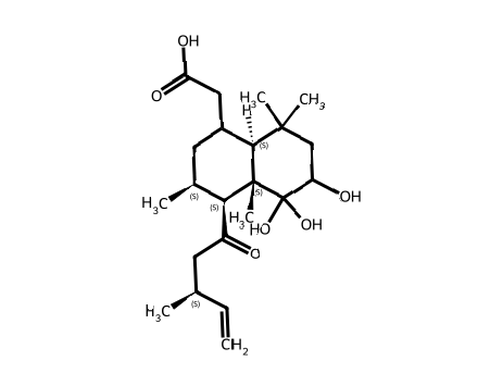 C=C[C@@H](C)CC(=O)[C@H]1[C@@H](C)CC(CC(=O)O)[C@H]2C(C)(C)CC(O)C(O)(O)[C@]12C